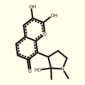 CN1CCC(c2c3oc(O)c(O)cc-3ccc2=O)C1(C)O